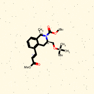 COC(=O)/C=C/c1cccc2c1C[C@H](CO[Si](C)(C)C(C)(C)C)N(C(=O)OC(C)(C)C)[C@H]2C